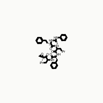 CC(C)CC(NC(=O)[C@H](CCc1ccccc1)NC(=S)Nc1ccccc1)C(=O)N[C@@H](Cc1ccccc1)C(=O)NC(CC(C)C)C(=O)[C@@]1(C)CO1